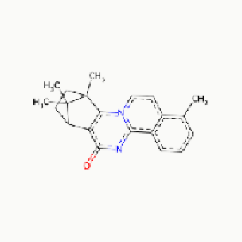 Cc1cccc2c1ccn1c3c(c(=O)nc21)C1CCC3(C)C1(C)C